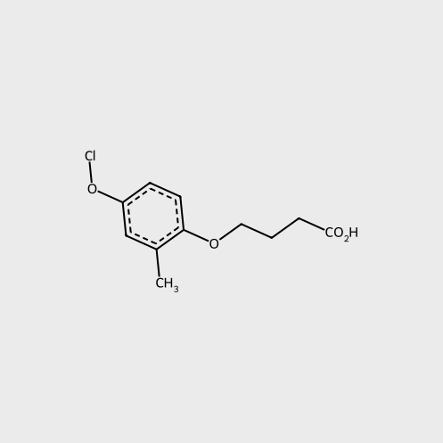 Cc1cc(OCl)ccc1OCCCC(=O)O